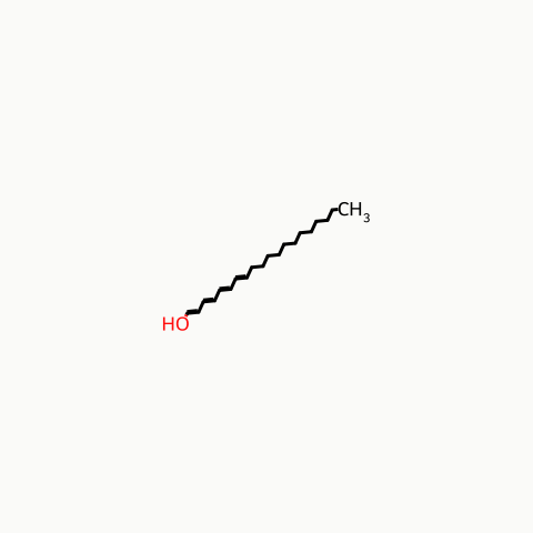 CCCCCCCCCCCC/C=C/C=C/C=C/C=C/O